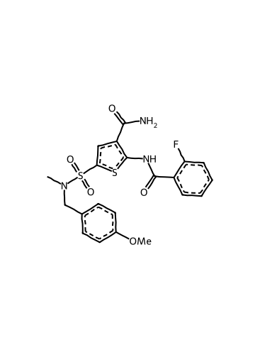 COc1ccc(CN(C)S(=O)(=O)c2cc(C(N)=O)c(NC(=O)c3ccccc3F)s2)cc1